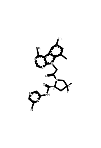 Cc1cc(C(F)(F)F)cc2c3c(N)ncnc3n(CC(=O)N3C[C@](C)(F)C[C@H]3C(=O)Nc3cncc(Br)n3)c12